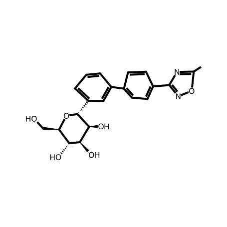 Cc1nc(-c2ccc(-c3cccc([C@H]4O[C@H](CO)[C@@H](O)[C@H](O)[C@@H]4O)c3)cc2)no1